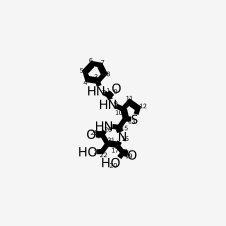 O=C(Nc1ccccc1)Nc1ccsc1-c1nc(C(=O)O)c(CO)c(=O)[nH]1